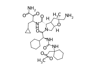 C[C@@]1(CN)C[C@H]2[C@H](CN(C(=O)[C@@H](NC(=O)NC3(CS(C)(=O)=O)CCCCC3)C3CCCCC3)[C@@H]2C(=O)NC(CC2CC2)C(=O)C(N)=O)O1